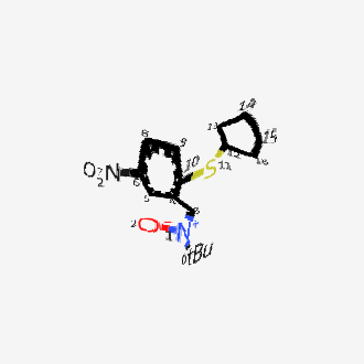 CC(C)(C)[N+]([O-])=Cc1cc([N+](=O)[O-])ccc1SC1CCCC1